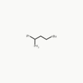 CCCCCCC(P)C(C)C